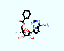 C[C@]1(COC(=O)C2CCCCC2)O[C@@H](c2ccc3c(N)ncnn23)[C@H](O)[C@@H]1O